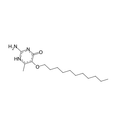 CCCCCCCCCCCOc1c(C)[nH]c(N)nc1=O